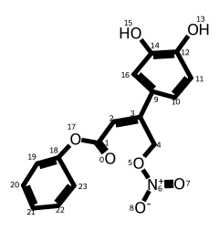 O=C(/C=C(\CO[N+](=O)[O-])c1ccc(O)c(O)c1)Oc1ccccc1